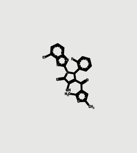 Cc1cc(C(=O)C2=C(O)C(=O)N(c3nc4c(Cl)cccc4s3)C2c2ccccc2F)c(C)o1